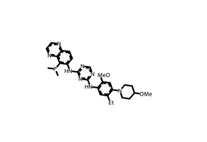 CCc1cc(Nc2ncnc(Nc3ccc4nccnc4c3P(C)C)n2)c(OC)cc1N1CCC(OC)CC1